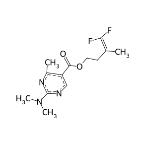 CC(CCOC(=O)c1cnc(N(C)C)nc1C)=C(F)F